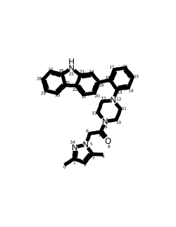 Cc1cc(C)n(CC(=O)N2CCN(c3ccccc3-c3ccc4c(c3)[nH]c3ccccc34)CC2)n1